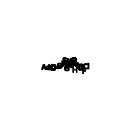 CC(=O)N1CCC(COCc2csc3nc(C(=O)NCc4ccc(F)c(Cl)c4)[nH]c(=O)c23)CC1